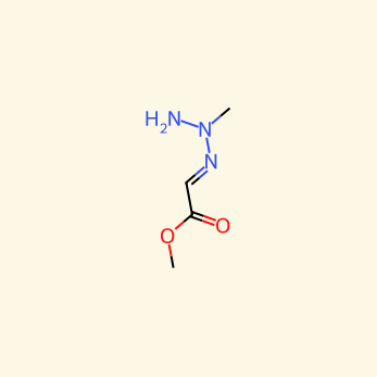 COC(=O)C=NN(C)N